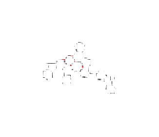 CC1(C)c2ccccc2-c2c(-c3ccccc3N(c3ccc(-c4ccc5oc6ccccc6c5c4)cc3)c3ccccc3-c3ccccc3-c3ccccc3-c3ccccc3)cccc21